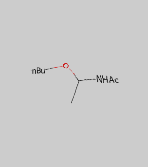 CCC[CH]OC(C)NC(C)=O